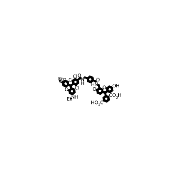 CC/N=c1\ccc2c(-c3c(Cl)cc(C(=O)NCc4ccc(C(=O)NCc5c6oc7cc(O)ccc7c(-c7cc(C(=O)O)ccc7C(=O)O)c-6ccc5=O)cc4)c(Cl)c3C(=O)O)c3ccc(NCC)cc3oc-2c1